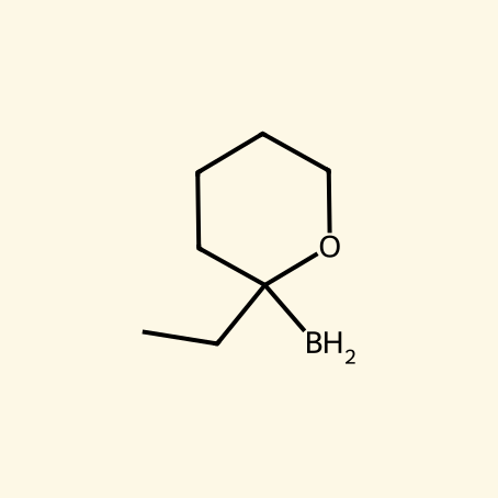 BC1(CC)CCCCO1